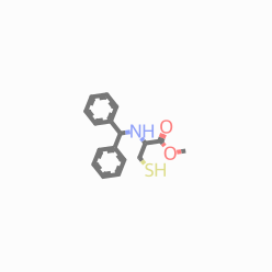 COC(=O)C(CS)NC(c1ccccc1)c1ccccc1